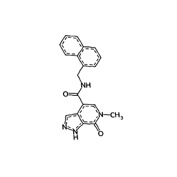 Cn1cc(C(=O)NCc2cccc3ccccc23)c2cn[nH]c2c1=O